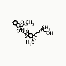 COC(=O)CC1(C(=O)NCc2nc3cc(OCCCN(C)CCO)c(OC)cc3s2)Cc2ccccc2C1